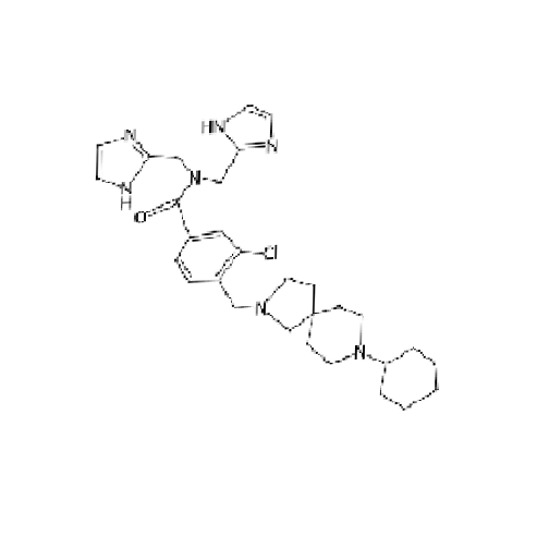 O=C(c1ccc(CN2CCC3(CCN(C4CCCCC4)CC3)C2)c(Cl)c1)N(Cc1ncc[nH]1)Cc1ncc[nH]1